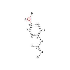 C/C=C(\C)Cc1ccc(OC)cc1